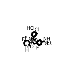 CCOC(=N)c1ccc(CN([C@@H]2CC(F)(F)CCNC2=O)S(=O)(=O)c2ccc(Cl)cc2)c(F)c1.Cl